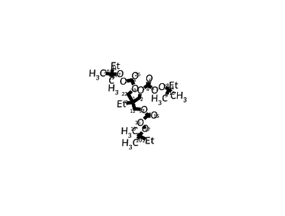 CCC(COC(=O)OOC(C)(C)CC)(COC(=O)OOC(C)(C)CC)COC(=O)OOC(C)(C)CC